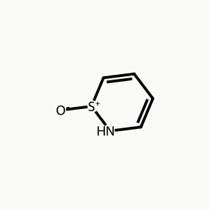 [O-][S+]1C=CC=CN1